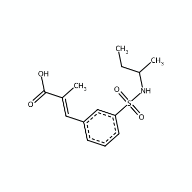 CCC(C)NS(=O)(=O)c1cccc(/C=C(\C)C(=O)O)c1